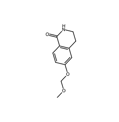 COCOc1ccc2c(c1)CCNC2=O